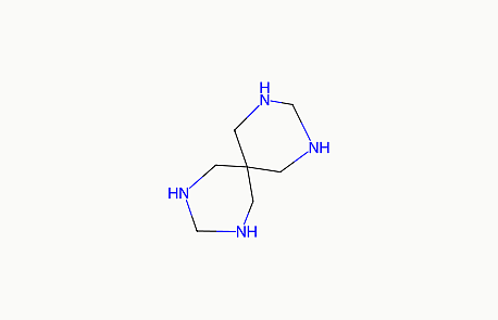 C1NCC2(CN1)CNCNC2